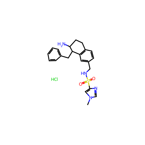 Cl.Cn1cnc(S(=O)(=O)NCc2ccc3c(c2)C(Cc2ccccc2)C(N)CC3)c1